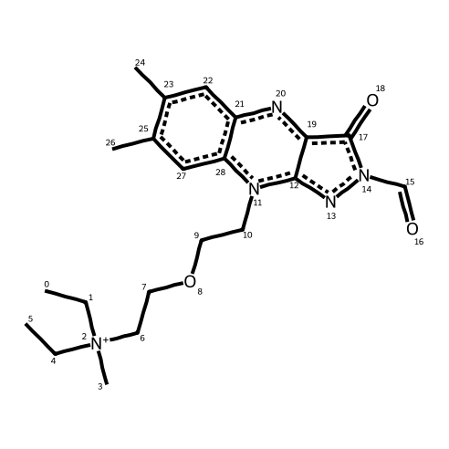 CC[N+](C)(CC)CCOCCn1c2nn(C=O)c(=O)c-2nc2cc(C)c(C)cc21